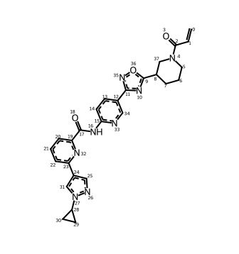 C=CC(=O)N1CCCC(c2nc(-c3ccc(NC(=O)c4cccc(-c5cnn(C6CC6)c5)n4)nc3)no2)C1